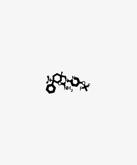 CN(C)[C@]1(c2ccccc2)CC[C@@](C)(CN(C(N)=O)c2ccc(OC(C)(F)F)cn2)CC1